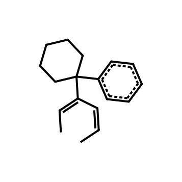 C/C=C\C(=C/C)C1(c2ccccc2)CCCCC1